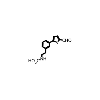 O=Cc1ccc(-c2cccc(CCNC(=O)O)c2)s1